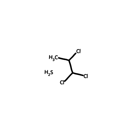 CC(Cl)C(Cl)Cl.S